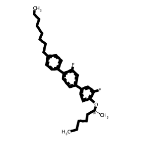 CCCCCCCCc1ccc(-c2ccc(-c3ccc(O[C@H](C)CCCCC)c(F)c3)cc2F)cc1